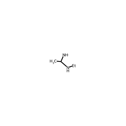 CCNC(C)[NH]